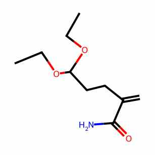 C=C(CCC(OCC)OCC)C(N)=O